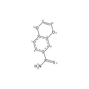 NC(=S)c1ccc2c(c1)OC=CO2